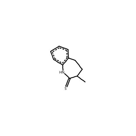 CC1CCc2ccccc2NC1=S